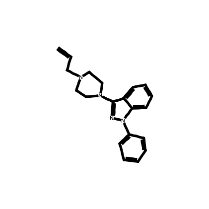 C=CCN1CCN(c2nn(-c3ccccc3)c3ccccc23)CC1